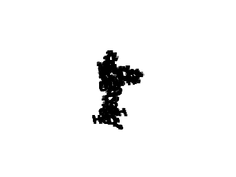 CC(C)CC(NC(=O)Oc1ccc(C[C@H]2C(=O)N(Cc3cccc4cccnc34)CC3N2C(=O)CN(C)N3C(=O)NCc2ccccc2)cc1)C(=O)O